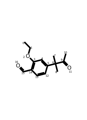 CCOc1cc(C(C)(C)C(C)=O)ccc1C=O